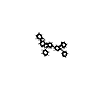 c1ccc(-n2c3ccccc3c3cc(-c4ccc5c6c7sc8ccccc8c7ccc6n(-c6ccccc6)c5c4)ccc32)cc1